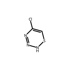 ClC1=CSNN=N1